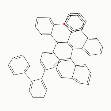 c1ccc(-c2ccccc2-c2ccc(N(c3ccccc3-c3ccccc3)c3c(-c4cccc5ccccc45)c4ccccc4c4ccccc34)cc2)cc1